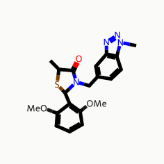 COc1cccc(OC)c1C1SC(C)C(=O)N1Cc1ccc2c(c1)nnn2C